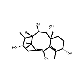 CC1=C2/C(O)=C3/C[C@H](O)[C@@H](C)[C@H]([C@@H](O)[C@H](O)[C@]2(C)CC[C@@H]1O)C3(C)C